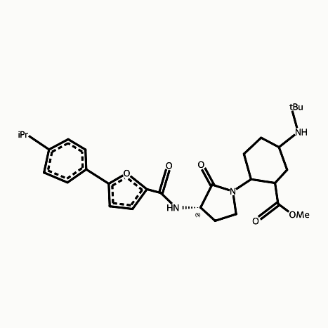 COC(=O)C1CC(NC(C)(C)C)CCC1N1CC[C@H](NC(=O)c2ccc(-c3ccc(C(C)C)cc3)o2)C1=O